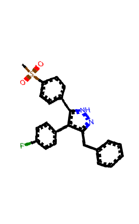 CS(=O)(=O)c1ccc(-c2[nH]nc(Cc3ccccc3)c2-c2ccc(F)cc2)cc1